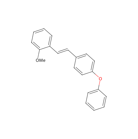 COc1ccccc1C=Cc1ccc(Oc2ccccc2)cc1